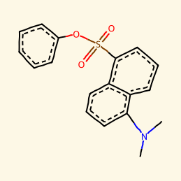 CN(C)c1cccc2c(S(=O)(=O)Oc3ccccc3)cccc12